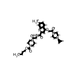 CCCCOC(=O)N1CCN(C(=O)CNC(=O)c2cc(OCC(=O)N3CCN(C4CC4)CC3)c3ccc(C)cc3n2)CC1